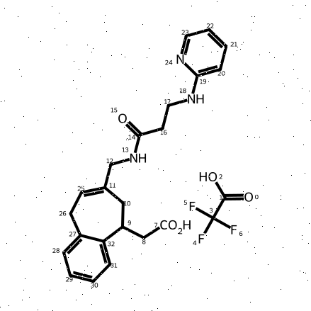 O=C(O)C(F)(F)F.O=C(O)CC1CC(CNC(=O)CCNc2ccccn2)=CCc2ccccc21